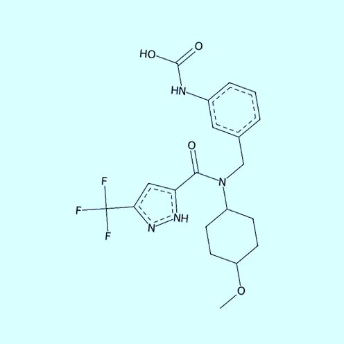 COC1CCC(N(Cc2cccc(NC(=O)O)c2)C(=O)c2cc(C(F)(F)F)n[nH]2)CC1